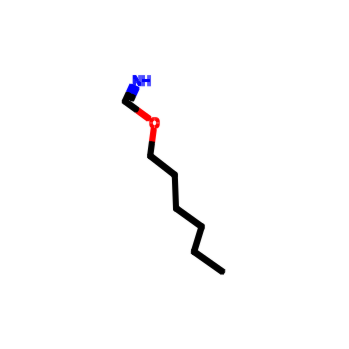 CCCCCCOC=N